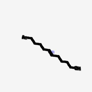 CC(=O)CCCC/C=C/CCCCO